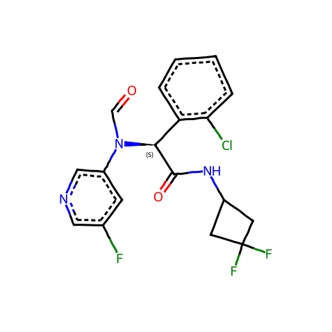 O=CN(c1cncc(F)c1)[C@H](C(=O)NC1CC(F)(F)C1)c1ccccc1Cl